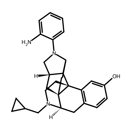 Nc1ccccc1N1C[C@H]2C[C@@]34CCC1C2[C@@]31CCN(CC2CC2)[C@@H]4Cc2ccc(O)cc21